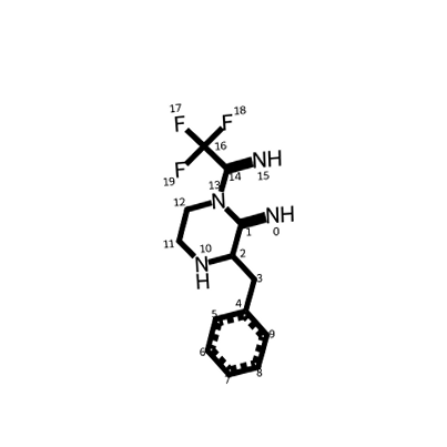 N=C1C(Cc2ccccc2)NCCN1C(=N)C(F)(F)F